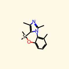 Cc1cccc2c1-n1c(C)nc(C)c1[Si](C)(C)O2